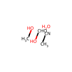 CC#N.CO.O.O=CO